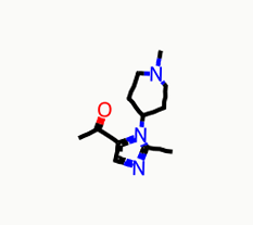 CC(=O)c1cnc(C)n1C1CCN(C)CC1